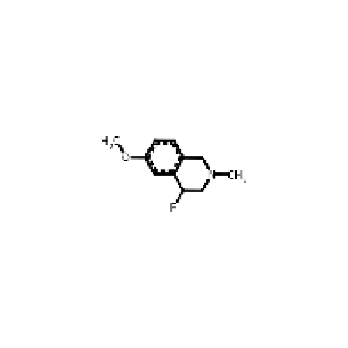 COc1ccc2c(c1)C(F)CN(C)C2